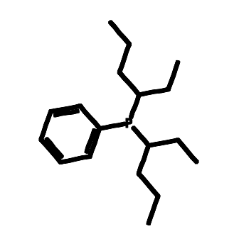 CCCC(CC)P(c1ccccc1)C(CC)CCC